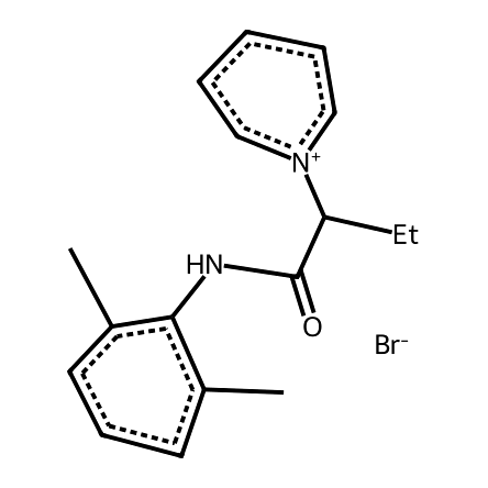 CCC(C(=O)Nc1c(C)cccc1C)[n+]1ccccc1.[Br-]